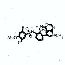 COc1cc(F)c(S(=O)(=O)Nc2cccc(-c3cn(C)c4ncnc(N)c34)c2C)cc1Cl